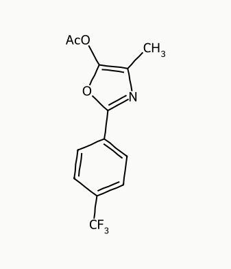 CC(=O)Oc1oc(-c2ccc(C(F)(F)F)cc2)nc1C